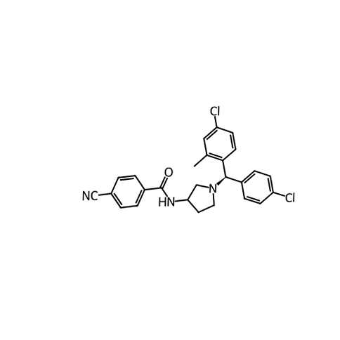 Cc1cc(Cl)ccc1[C@@H](c1ccc(Cl)cc1)N1CCC(NC(=O)c2ccc(C#N)cc2)C1